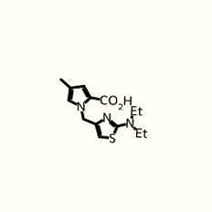 CCN(CC)c1nc(Cn2cc(C)cc2C(=O)O)cs1